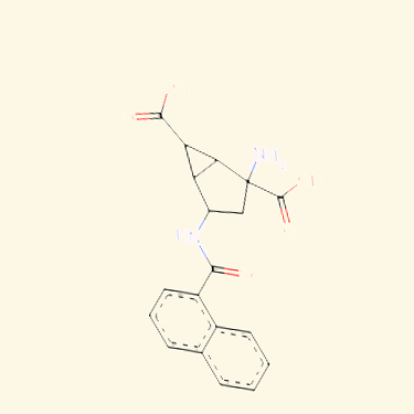 NC1(C(=O)O)CC(NC(=O)c2cccc3ccccc23)C2C(C(=O)O)C21